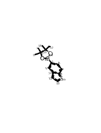 CC1(C)OB(c2c[c]c3sccc3c2)OC1(C)C